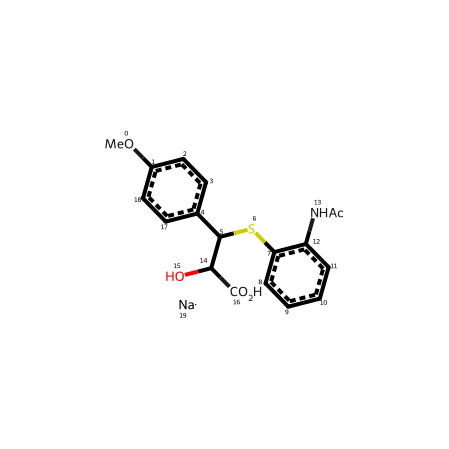 COc1ccc(C(Sc2ccccc2NC(C)=O)C(O)C(=O)O)cc1.[Na]